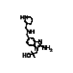 CC(C)(O)Cn1c(N)nc2cc(CNCC3CCCNC3)ccc21